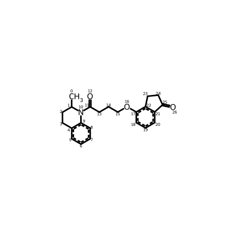 CC1CCc2ccccc2N1C(=O)CCCOc1cccc2c1CCC2=O